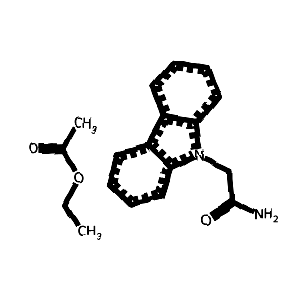 CCOC(C)=O.NC(=O)Cn1c2ccccc2c2ccccc21